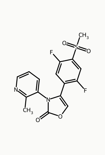 Cc1ncccc1-n1c(-c2cc(F)c(S(C)(=O)=O)cc2F)coc1=O